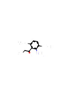 COc1ccc(C(=O)O)c(N)c1C(=O)CC(C)=O